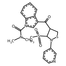 CN(C)C(=O)n1cc(C(=O)C2CSN(c3cccnc3)C2S(C)(=O)=O)c2ccccc21